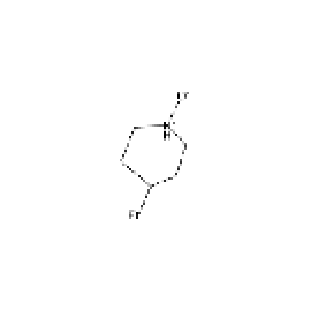 CCC1CC[NH+]([O-])CC1